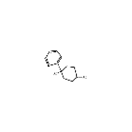 CC(=O)N1CCC(C(C)=O)(c2ccccc2)CC1